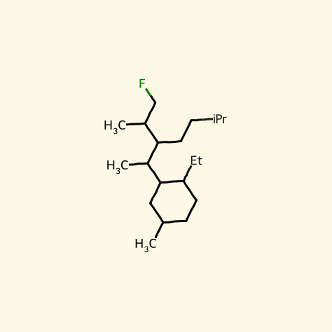 CCC1CCC(C)CC1C(C)C(CCC(C)C)C(C)CF